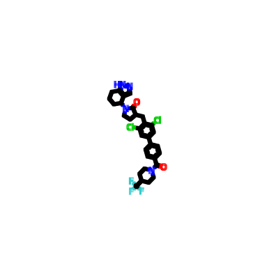 O=C(c1ccc(-c2cc(Cl)c(CC3CCN(C4CCCc5[nH]ncc54)C3=O)c(Cl)c2)cc1)N1CCC(C(F)(F)F)CC1